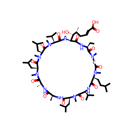 CC[C@@H]1NC(=O)[C@H]([C@H](O)[C@H](C)C/C=C/C(=O)O)N(C)C(=O)[C@H](C(C)C)N(C)C(=O)[C@H](CC(C)C)N(C)C(=O)[C@H](CC(C)C)N(C)C(=O)[C@@H](C)NC(=O)[C@H](C)NC(=O)[C@H](CC(C)C)N(C)C(=O)[C@H](C(C)C)NC(=O)[C@H](CCC(C)C)N(C)C(=O)CN(C)C1=O